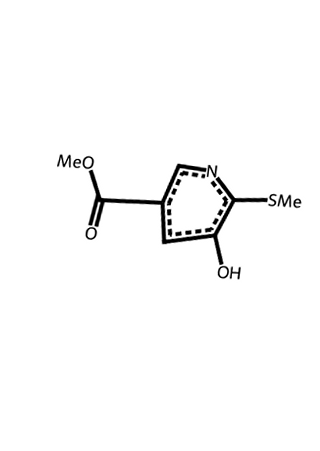 COC(=O)c1cnc(SC)c(O)c1